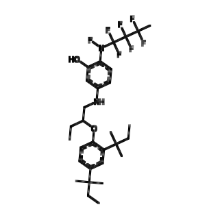 CCC(CNc1ccc(N(F)C(F)(F)C(F)(F)C(C)(F)F)c(O)c1)Oc1ccc(C(C)(C)CC)cc1C(C)(C)CC